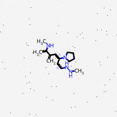 C=C(/C=C(\C=C/NNC)N1CCCC1)C(=C)NC